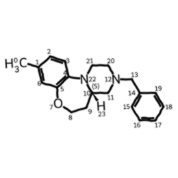 Cc1ccc2c(c1)OCC[C@H]1CN(Cc3ccccc3)CCN21